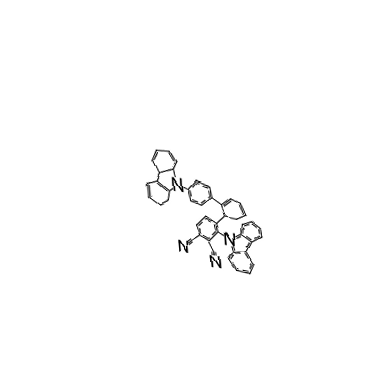 N#Cc1ccc(C2CC=CC=C2c2ccc(N3C4=C(C=CCC4)C4C=CC=CC43)cc2)c(-n2c3ccccc3c3ccccc32)c1C#N